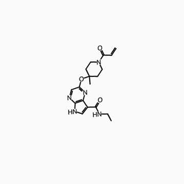 C=CC(=O)N1CCC(C)(Oc2cnc3[nH]cc(C(=O)NCC)c3n2)CC1